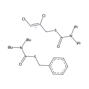 CC(C)N(C(=O)SC/C(Cl)=C/Cl)C(C)C.CCC(C)N(C(=O)SCc1ccccc1)C(C)CC